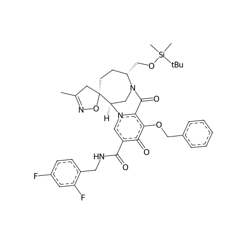 CC1=NO[C@@]2(CC[C@H](CO[Si](C)(C)C(C)(C)C)N3C[C@H]2n2cc(C(=O)NCc4ccc(F)cc4F)c(=O)c(OCc4ccccc4)c2C3=O)C1